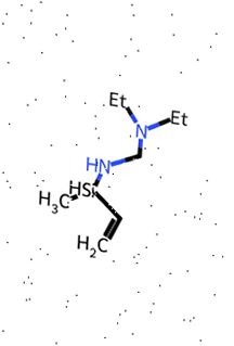 C=C[SiH](C)NCN(CC)CC